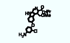 COCc1c(C(=O)OC(C)C)ncc2[nH]c3ccc(Oc4ccc(N)cc4Cl)cc3c12